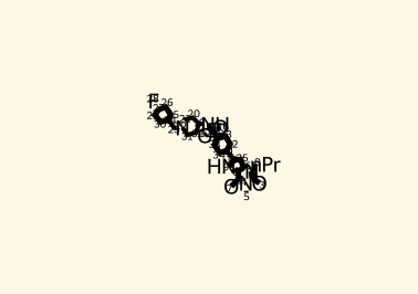 CCCn1c(=O)n(C)c(=O)c2[nH]c(-c3ccc(S(=O)(=O)NC4CCN(Cc5ccc(F)cc5)CC4)cc3)cc21